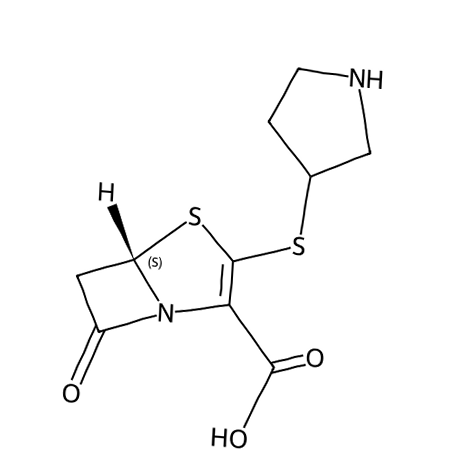 O=C(O)C1=C(SC2CCNC2)S[C@H]2CC(=O)N12